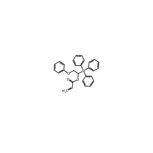 C=CC(=O)OC(COc1ccccc1)[Si](c1ccccc1)(c1ccccc1)c1ccccc1